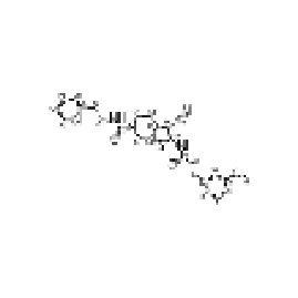 COc1cccc(CCC(=O)Nc2sc3c(c2C#N)CCN(C(=O)NCCc2ccccn2)C3)c1